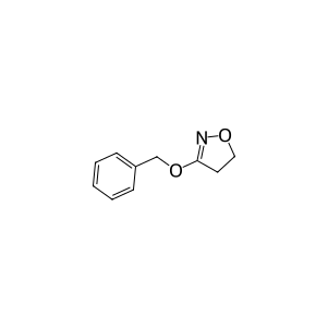 c1ccc(COC2=NOCC2)cc1